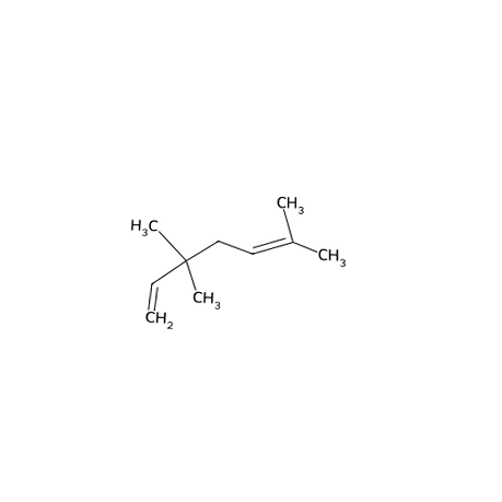 C=CC(C)(C)CC=C(C)C